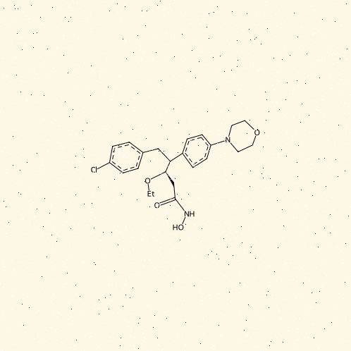 CCO[C@H](CC(=O)NO)C(Cc1ccc(Cl)cc1)c1ccc(N2CCOCC2)cc1